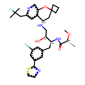 CO[C@H](C)C(=O)N[C@@H](Cc1cc(F)cc(-c2nccs2)c1)[C@@H](O)CN[C@H]1CC2(CCC2)Oc2cnc(CC(C)(C)F)cc21